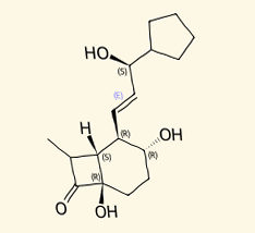 CC1C(=O)[C@@]2(O)CC[C@@H](O)[C@H](/C=C/[C@@H](O)C3CCCC3)[C@@H]12